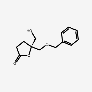 O=C1CC[C@](CO)(COCc2ccccc2)O1